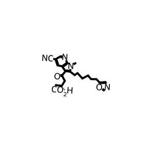 C[C@H](CC(=O)O)CC(=O)c1c(CCCCCCc2cnco2)n(C)c2ncc(C#N)cc12